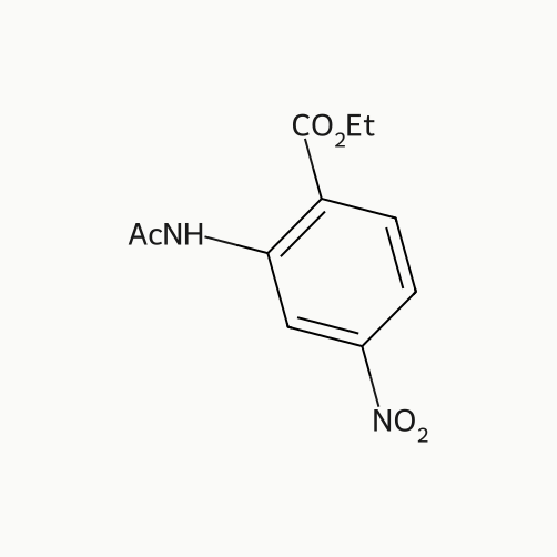 CCOC(=O)c1ccc([N+](=O)[O-])cc1NC(C)=O